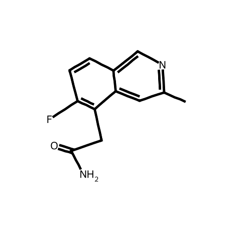 Cc1cc2c(CC(N)=O)c(F)ccc2cn1